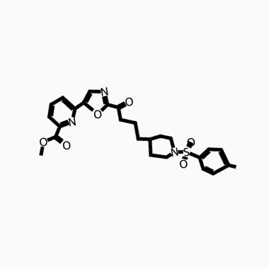 COC(=O)c1cccc(-c2cnc(C(=O)CCCC3CCN(S(=O)(=O)c4ccc(C)cc4)CC3)o2)n1